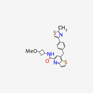 COC1CC(NC(=O)c2cc(Cc3ccc(-c4csc(C)n4)cc3)c3sccc3n2)C1